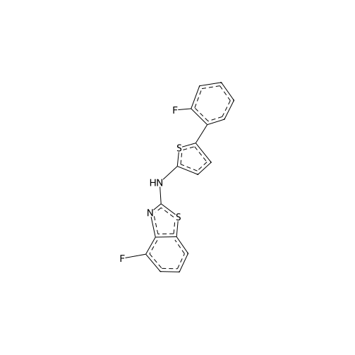 Fc1ccccc1-c1ccc(Nc2nc3c(F)cccc3s2)s1